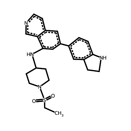 CCS(=O)(=O)N1CCC(Nc2cc(-c3ccc4c(c3)CCN4)cc3ccncc23)CC1